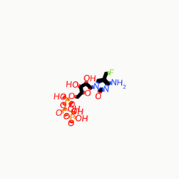 Nc1nc(=O)n(C2OC(COP(=O)(O)OP(=O)(O)OP(=O)(O)O)C(O)C2O)cc1CF